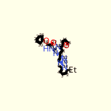 CCc1cccc(Cn2cc(-c3cc(-c4ccco4)nc(NC(=O)COc4ccccc4)n3)nn2)n1